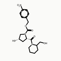 O=C([C@@H]1C[C@H](S)CN1C(=O)OCc1ccc([N+](=O)[O-])cc1)N1CCCCC1CO